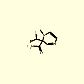 CN1C=CN=CC1(C(N)=O)C(F)F